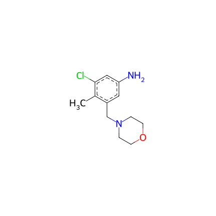 Cc1c(Cl)cc(N)cc1CN1CCOCC1